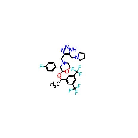 C[C@@H](O[C@H]1OCCN(Cc2nn[nH]c2CN2CCCC2)[C@H]1c1ccc(F)cc1)c1cc(C(F)(F)F)cc(C(F)(F)F)c1